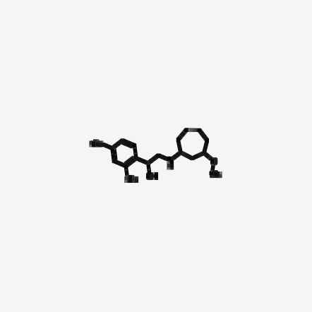 CCCCc1ccc(C(O)CNC2CCCCC(OC(C)(C)C)C2)c(CCCC)c1